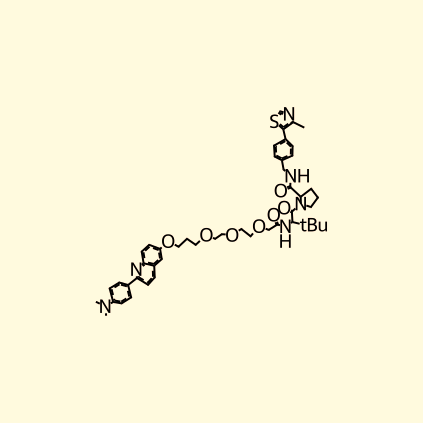 Cc1ncsc1-c1ccc(CNC(=O)C2CCCN2C(=O)C(NC(=O)COCCOCCOCCCOc2ccc3nc(-c4ccc(N(C)C)cc4)ccc3c2)C(C)(C)C)cc1